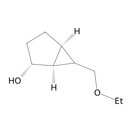 CCOCC1[C@H]2[C@H](O)CC[C@@H]12